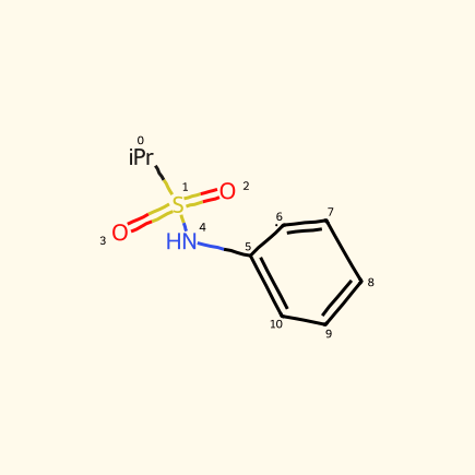 CC(C)S(=O)(=O)Nc1[c]cccc1